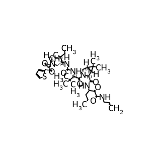 C=CCNC(=O)C(=O)C(CCC)NC(=O)[C@@H]1[C@@H]2[C@H](CN1C(=O)[C@@H](NC(=O)N[C@H](CN(C)S(=O)(=O)c1cccs1)[C@@H](C)CC)C(C)(C)C)C2(C)C